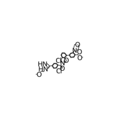 COCCN/C=C(\C=N)c1cc(Cl)c(C(=O)N2COc3c(cccc3-c3ccc(C(=O)OC)c(N4CCOCC4)c3)C2)c(Cl)c1